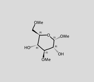 COC[C@H]1O[C@H](OC)[C@H](O)[C@@H](OC)[C@@H]1O